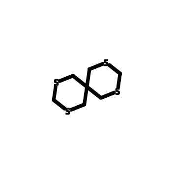 C1SCC2(CS1)CSCSC2